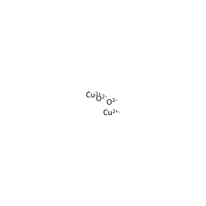 [Cu+2].[Cu+2].[O-2].[O-2]